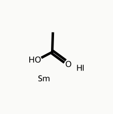 CC(=O)O.I.[Sm]